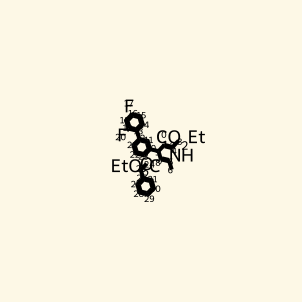 CCOC(=O)C1=C(C)NC(C)=C(C(=O)OCC)C1c1cc(-c2ccc(F)cc2F)ccc1OCc1ccccc1